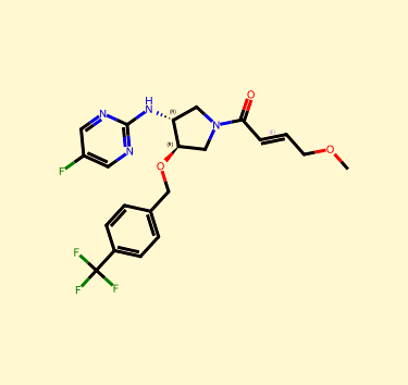 COC/C=C/C(=O)N1C[C@@H](Nc2ncc(F)cn2)[C@H](OCc2ccc(C(F)(F)F)cc2)C1